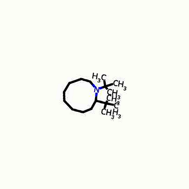 CC(C)(C)C1CCCCCCCCN1C(C)(C)C